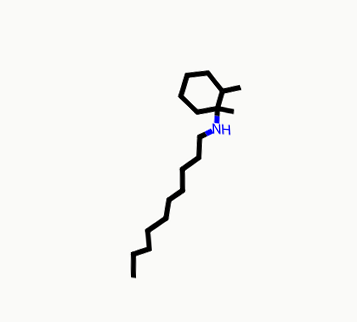 CCCCCCCCCCNC1(C)CCCCC1C